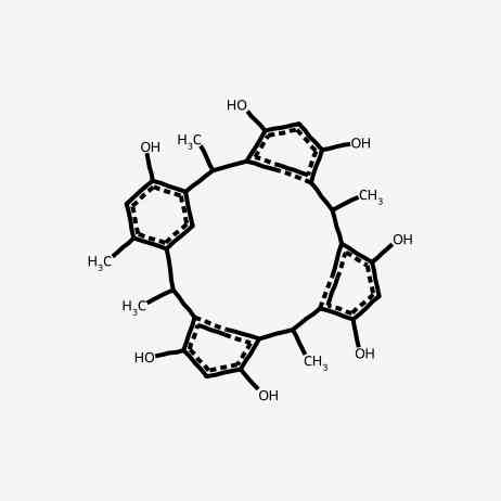 Cc1cc(O)c2cc1C(C)c1cc(c(O)cc1O)C(C)c1cc(c(O)cc1O)C(C)c1cc(c(O)cc1O)C2C